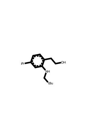 CC(C)c1ccc(CCO)c(NCC(C)(C)C)c1